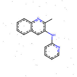 Cc1nc2ccccc2cc1Nc1ccccn1